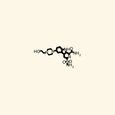 NC(=O)c1nc(S(N)(=O)=O)cc2c1[nH]c1ccc(N3CCN(CCO)CC3)cc12